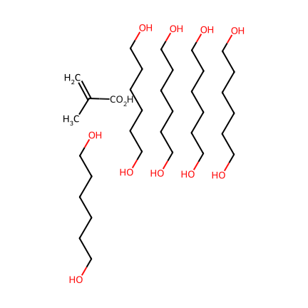 C=C(C)C(=O)O.OCCCCCCO.OCCCCCCO.OCCCCCCO.OCCCCCCO.OCCCCCCO